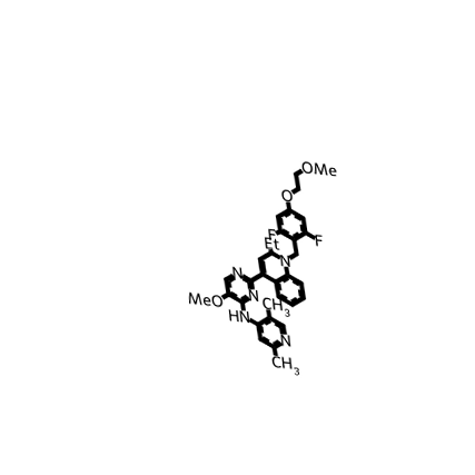 CCC1C=C(c2ncc(OC)c(Nc3cc(C)ncc3C)n2)c2ccccc2N1Cc1c(F)cc(OCCOC)cc1F